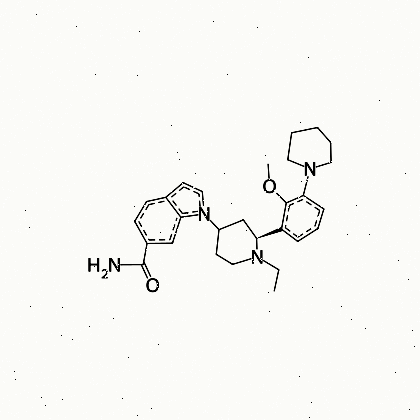 CCN1CCC(n2ccc3ccc(C(N)=O)cc32)C[C@H]1c1cccc(N2CCCCC2)c1OC